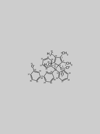 CC1=C(C)[C]([Ti+]([Cl])[Cl])([Si](c2ccccc2)(c2ccccc2)c2ccccc2)C(C)=C1C.[O-]c1ccccc1